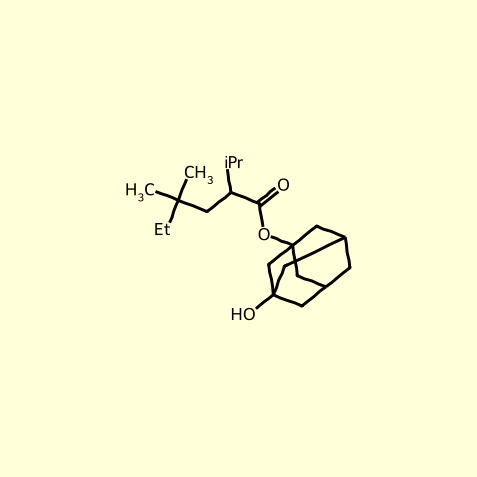 CCC(C)(C)CC(C(=O)OC12CC3CC(CC(O)(C3)C1)C2)C(C)C